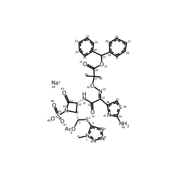 CC(=O)OC(Sc1nnnn1C)[C@H]1[C@@H](NC(=O)C(=NOC(C)(C)C(=O)OC(c2ccccc2)c2ccccc2)c2csc(N)n2)C(=O)N1S(=O)(=O)[O-].[Na+]